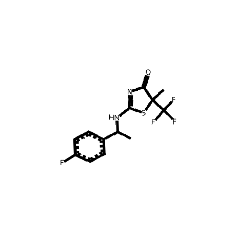 CC(NC1=NC(=O)C(C)(C(F)(F)F)S1)c1ccc(F)cc1